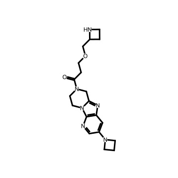 O=C(CCOCC1CCN1)N1CCn2c(nc3cc(N4CCC4)cnc32)C1